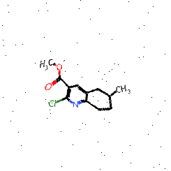 COC(=O)c1cc2c(nc1Cl)CCC(C)C2